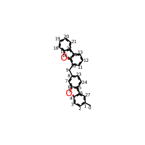 Cc1ccc2oc3cc(Cc4cccc5c4oc4ccccc45)ccc3c2c1